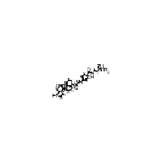 CN(C)CCNC(=O)c1ccc(COC(=O)N2CCC[C@@H]3[C@H]2CCN3c2ncnc3[nH]ccc23)cc1